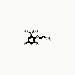 CCCOc1c(Br)cc(F)cc1B(C)O